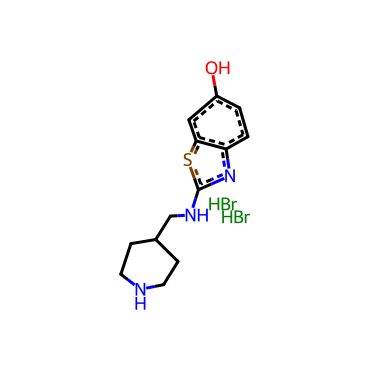 Br.Br.Oc1ccc2nc(NCC3CCNCC3)sc2c1